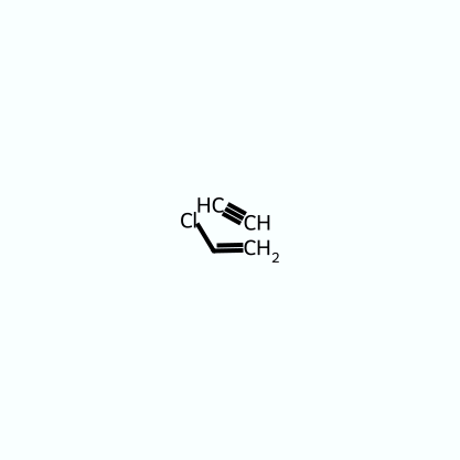 C#C.C=CCl